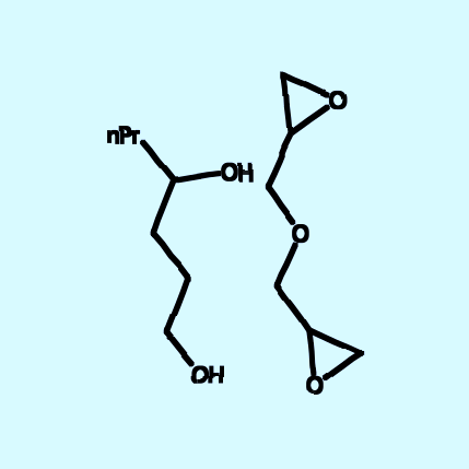 C(OCC1CO1)C1CO1.CCCC(O)CCCO